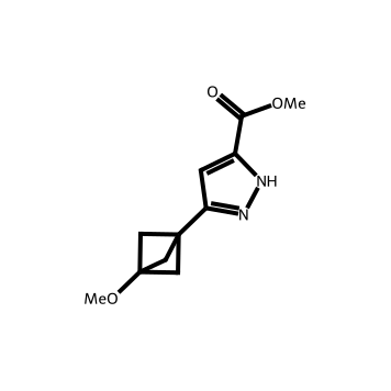 COC(=O)c1cc(C23CC(OC)(C2)C3)n[nH]1